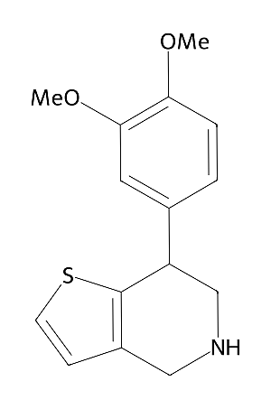 COc1ccc(C2CNCc3ccsc32)cc1OC